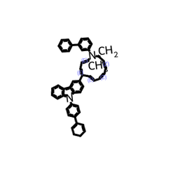 C=C1\C=C/C=C\C=C\C(c2ccc3c(c2)c2ccccc2n3-c2ccc(C3=CCCC=C3)cc2)=C/C=C(\C)N1c1cccc(-c2ccccc2)c1